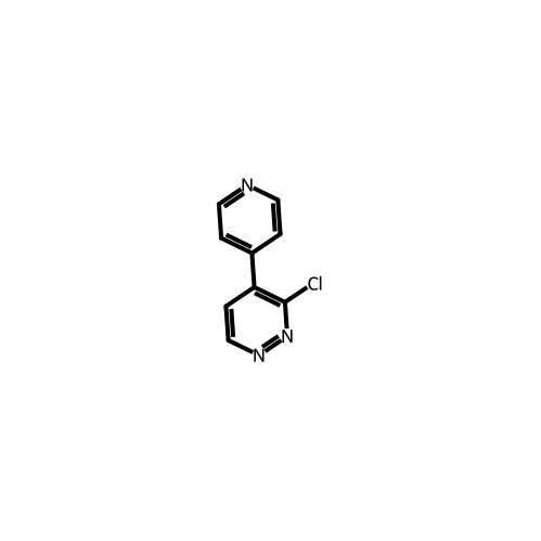 Clc1nnccc1-c1ccncc1